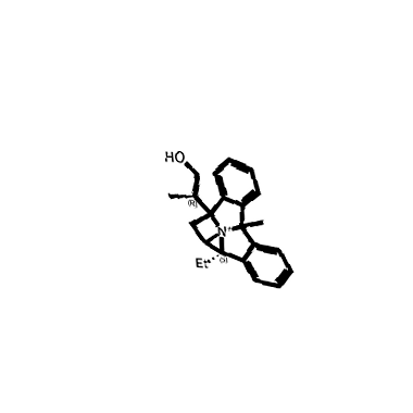 CC[C@]12c3ccccc3C3(C)c4ccccc4C4([C@@H](C)CO)CC1[N+]342